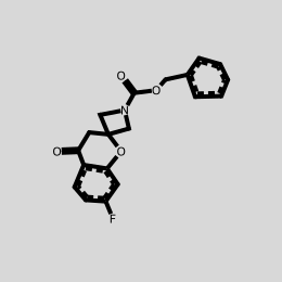 O=C1CC2(CN(C(=O)OCc3ccccc3)C2)Oc2cc(F)ccc21